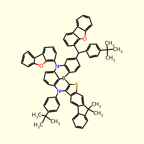 CC(C)(C)c1ccc(C(c2ccc3c(c2)N(c2cccc4c2oc2ccccc24)c2cccc4c2B3c2sc3cc5c(cc3c2N4c2ccc(C(C)(C)C)cc2)-c2ccccc2C5(C)C)c2cccc3c2oc2ccccc23)cc1